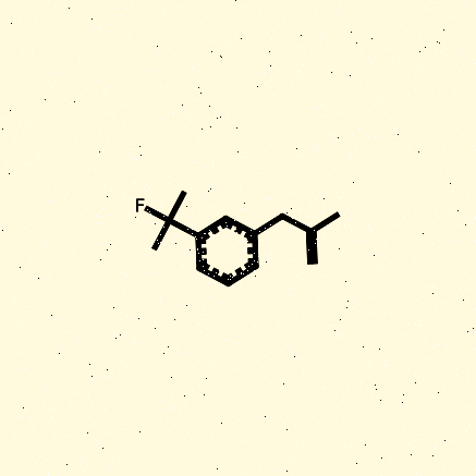 C=C(C)Cc1cccc(C(C)(C)F)c1